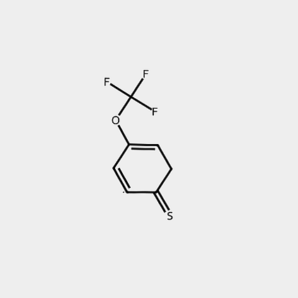 FC(F)(F)OC1=CCC(=S)[C]=C1